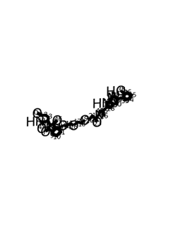 O=C1CCC(N2C(=O)c3cccc(OCCOCCOCCC(=O)N4CC(c5cc6cc(-c7ccccc7O)nnc6[nH]5)C4)c3C2=O)C(=O)N1